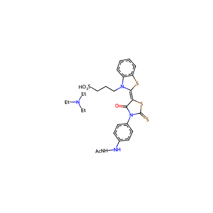 CC(=O)NNc1ccc(N2C(=O)C(=C3Sc4ccccc4N3CCCS(=O)(=O)O)SC2=S)cc1.CCN(CC)CC